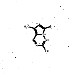 Cc1ncc2c(C)cc(Br)n2n1